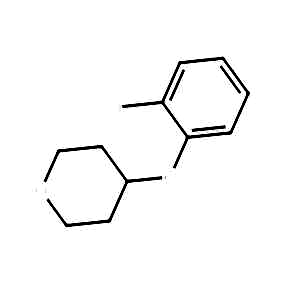 Ic1ccccc1OC1CCOCC1